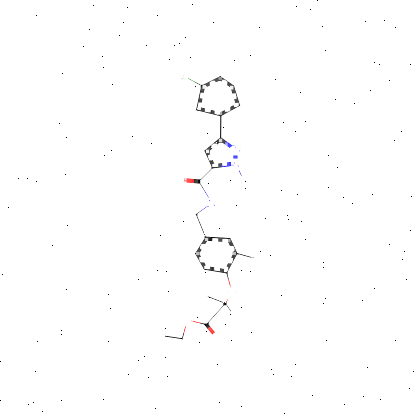 CCOC(=O)C(C)(C)Oc1ccc(CNC(=O)c2cc(-c3cccc(Br)c3)nn2C)cc1C